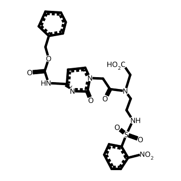 O=C(O)CN(CCNS(=O)(=O)c1ccccc1[N+](=O)[O-])C(=O)Cn1ccc(NC(=O)OCc2ccccc2)nc1=O